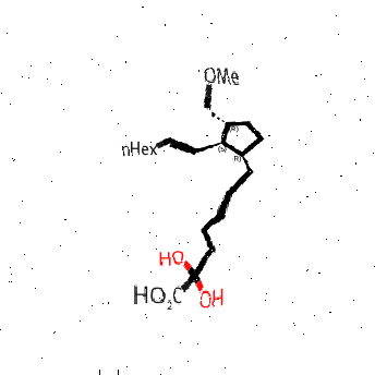 CCCCCCC=C[C@@H]1[C@H](CCCCCC(O)(O)C(=O)O)CC[C@H]1COC